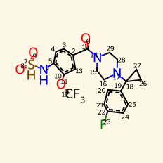 O=C(c1ccc(N[SH](=O)=O)c(OC(F)(F)F)c1)N1CCN(C2(c3ccc(F)cc3)CC2)CC1